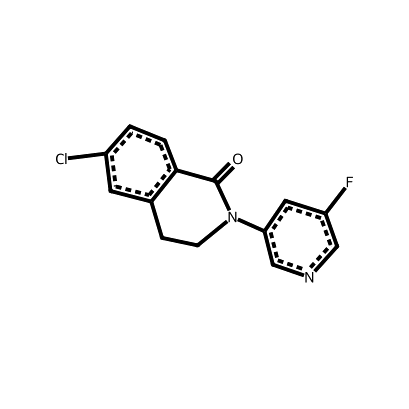 O=C1c2ccc(Cl)cc2CCN1c1cncc(F)c1